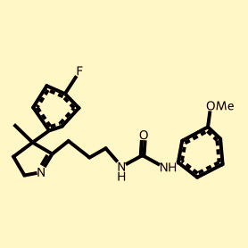 COc1cccc(NC(=O)NCCCC2=NCCC2(C)c2ccc(F)cc2)c1